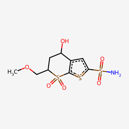 COCC1CC(O)c2cc(S(N)(=O)=O)sc2S1(=O)=O